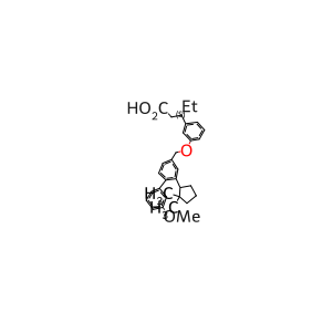 CC[C@@H](CC(=O)O)c1cccc(OCc2ccc(-c3cccc(OC)c3)c(C3CCCC3(C)C)c2)c1